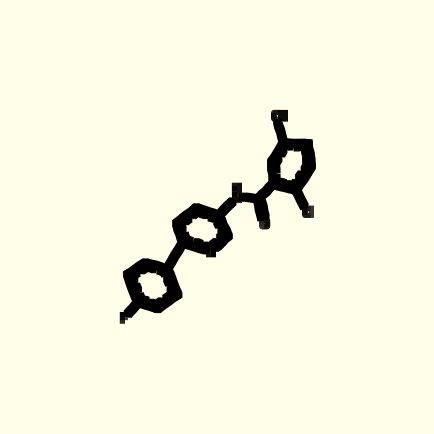 N#Cc1ccc(Cl)c(C(=O)Nc2ccc(-c3ccc(F)cc3)nc2)c1